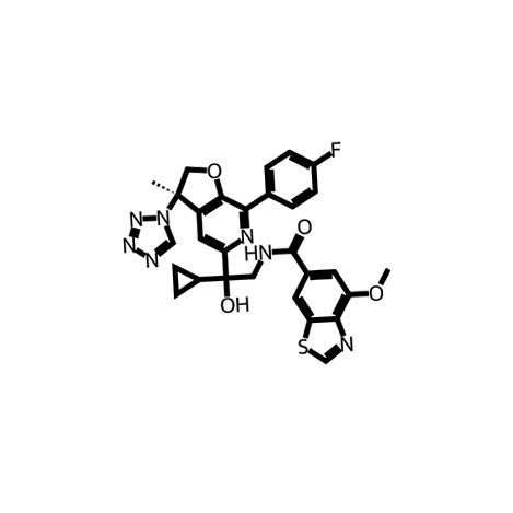 COc1cc(C(=O)NCC(O)(c2cc3c(c(-c4ccc(F)cc4)n2)OC[C@]3(C)n2cnnn2)C2CC2)cc2scnc12